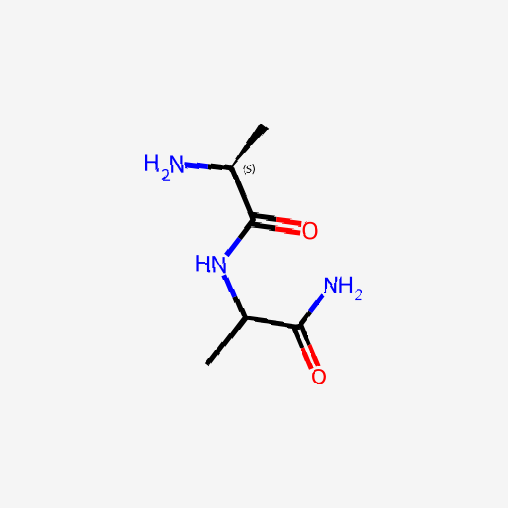 CC(NC(=O)[C@H](C)N)C(N)=O